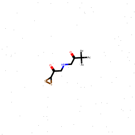 CC(=O)C(C(C)=O)(C(C)=O)C(=O)CNCC(=O)C1SS1